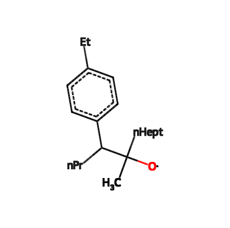 CCCCCCCC(C)([O])C(CCC)c1ccc(CC)cc1